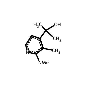 CNc1nccc(C(C)(C)O)c1C